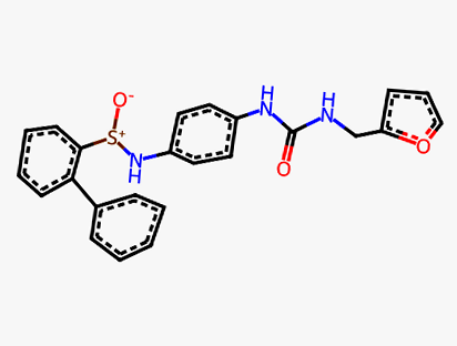 O=C(NCc1ccco1)Nc1ccc(N[S+]([O-])c2ccccc2-c2ccccc2)cc1